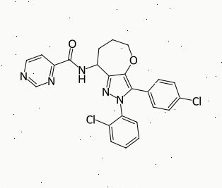 O=C(NC1CCCOc2c1nn(-c1ccccc1Cl)c2-c1ccc(Cl)cc1)c1ccncn1